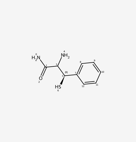 NC(=O)C(N)[C@H](S)c1ccccc1